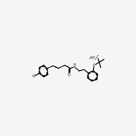 CC(C)(Oc1ccccc1CCNC(=O)CCCc1ccc(Cl)cc1)C(=O)O